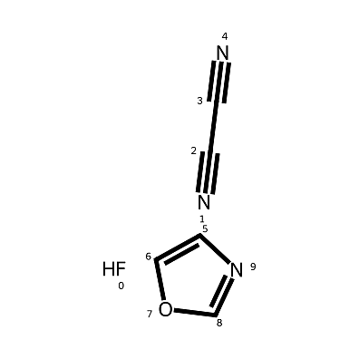 F.N#CC#N.c1cocn1